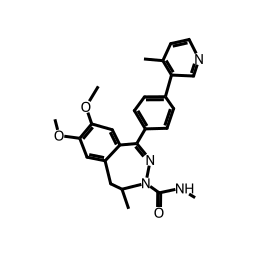 CNC(=O)N1N=C(c2ccc(-c3cnccc3C)cc2)c2cc(OC)c(OC)cc2CC1C